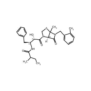 CCC(C)C(=O)N[C@@H](Cc1ccccc1)[C@H](O)C(=O)N1CSC2(C)[C@H]1C(=O)N2Cc1ccccc1C